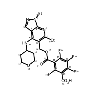 CCc1nc2c(cnn2CC)c(NC2CCOCC2)c1COC(=O)c1c(F)c(F)c(F)c(C(=O)O)c1F